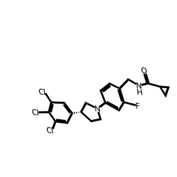 O=C(NCc1ccc(N2CC[C@H](c3cc(Cl)c(Cl)c(Cl)c3)C2)cc1F)C1CC1